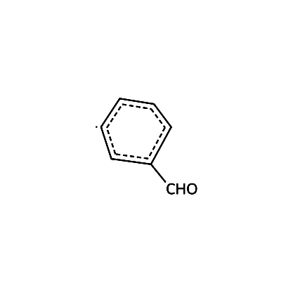 O=Cc1c[c]ccc1